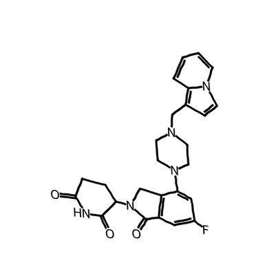 O=C1CCC(N2Cc3c(cc(F)cc3N3CCN(Cc4ccn5ccccc45)CC3)C2=O)C(=O)N1